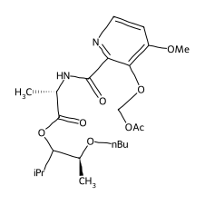 CCCCO[C@@H](C)C(OC(=O)[C@H](C)NC(=O)c1nccc(OC)c1OCOC(C)=O)C(C)C